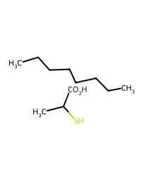 CC(S)C(=O)O.CCCCCCCC